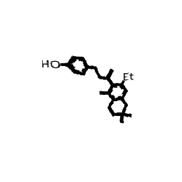 C=C(CCc1ccc(O)cc1)c1c(CC)cc2c(c1C)CCC(C)(C)C2